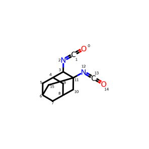 O=C=NC1C2CC3CC(C2)CC1(N=C=O)C3